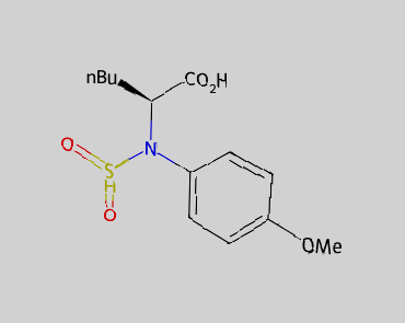 CCCC[C@@H](C(=O)O)N(c1ccc(OC)cc1)[SH](=O)=O